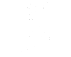 NC(=O)C[C@H]1CN[C@H](C(=O)N2CC(Oc3ccc(CCB(O)O)c(O)c3C(=O)O)C2)C1